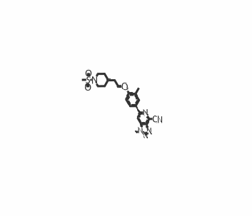 Cc1cc(-c2cc3c(nnn3C)c(C#N)n2)ccc1OCCC1CCN(S(C)(=O)=O)CC1